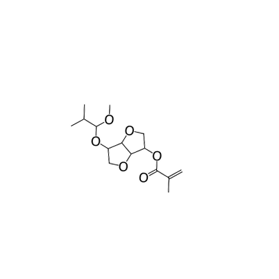 C=C(C)C(=O)OC1COC2C(OC(OC)C(C)C)COC12